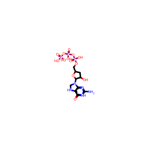 Nc1nc2c(c(=O)[nH]1)NCN2C1OC(COP(=O)(O)OP(=O)(O)OP(=O)(O)O)CC1O